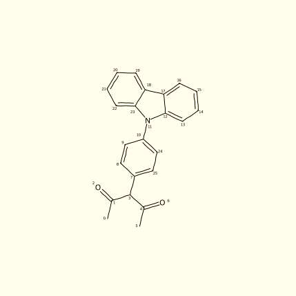 CC(=O)C(C(C)=O)c1ccc(-n2c3ccccc3c3ccccc32)cc1